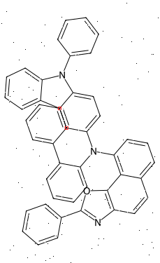 c1ccc(-c2nc3ccc4cccc(N(c5ccc6c(c5)c5ccccc5n6-c5ccccc5)c5ccccc5-c5ccccc5)c4c3o2)cc1